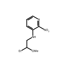 CCC(CNc1cccnc1[N+](=O)[O-])OC